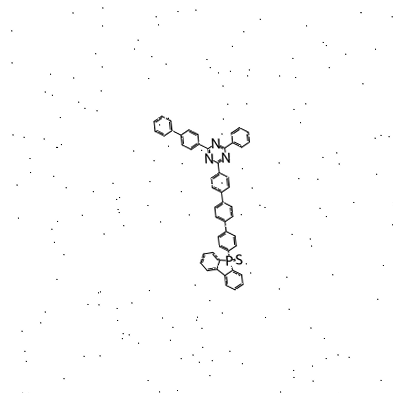 S=P1(c2ccc(-c3ccc(-c4ccc(-c5nc(-c6ccccc6)nc(-c6ccc(-c7ccccc7)cc6)n5)cc4)cc3)cc2)c2ccccc2-c2ccccc21